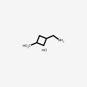 Cl.NCC1CC(C(=O)O)C1